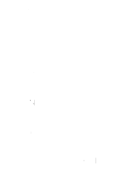 Oc1cccc(Oc2cccc(Oc3cccc(O)c3)n2)c1